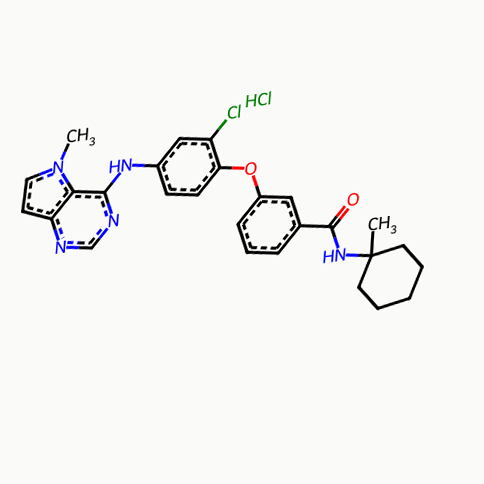 Cl.Cn1ccc2ncnc(Nc3ccc(Oc4cccc(C(=O)NC5(C)CCCCC5)c4)c(Cl)c3)c21